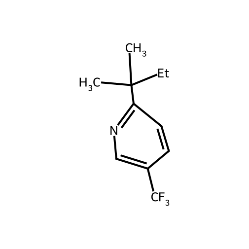 CCC(C)(C)c1ccc(C(F)(F)F)cn1